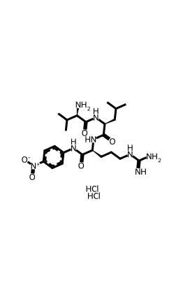 CC(C)C[C@H](NC(=O)[C@H](N)C(C)C)C(=O)N[C@@H](CCCNC(=N)N)C(=O)Nc1ccc([N+](=O)[O-])cc1.Cl.Cl